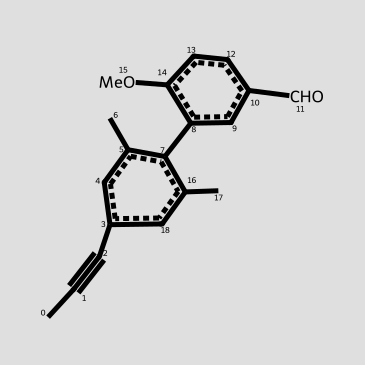 CC#Cc1cc(C)c(-c2cc(C=O)ccc2OC)c(C)c1